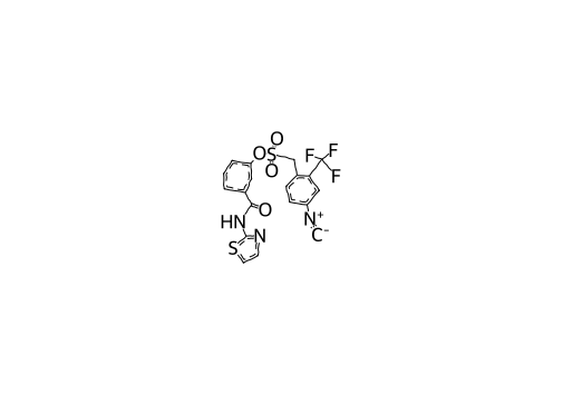 [C-]#[N+]c1ccc(CS(=O)(=O)Oc2cccc(C(=O)Nc3nccs3)c2)c(C(F)(F)F)c1